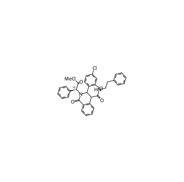 COC(=O)[C@H](c1ccccc1)N1C(=O)c2ccccc2C(C(=O)NCCc2ccccc2)C1c1ccc(Cl)cc1Cl